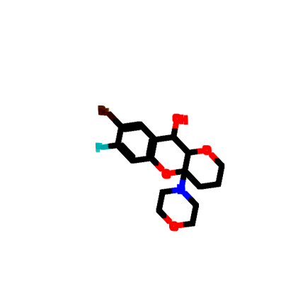 OC1c2cc(Br)c(F)cc2OC2(N3CCOCC3)CCCOC12